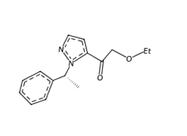 CCOCC(=O)c1ccnn1[C@H](C)c1ccccc1